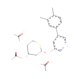 CC(=O)O[C@@H]1[C@@H](OC(C)=O)[C@H](OC(C)=O)CS[C@H]1Oc1cncc(-c2ccc(C)c(C)c2)c1